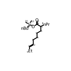 CCC=CCCCCC(CCC)C(=O)O[Si](C)(C)CCCC